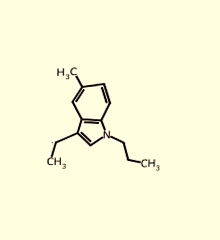 C[CH]c1cn(CCC)c2ccc(C)cc12